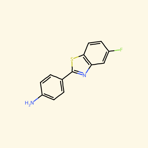 Nc1ccc(-c2nc3cc(F)ccc3s2)cc1